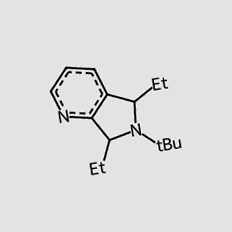 CCC1c2cccnc2C(CC)N1C(C)(C)C